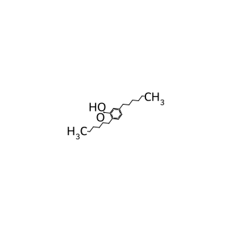 CCCCCCc1ccc(CCCCCC)c(C(=O)O)c1